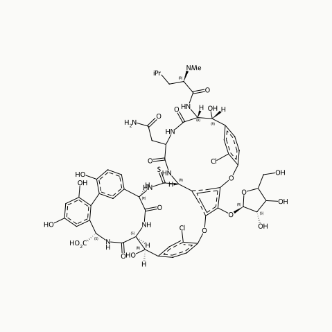 CN[C@H](CC(C)C)C(=O)N[C@H]1C(=O)NC(CC(N)=O)C(=O)N[C@H]2C(=S)N[C@H]3C(=O)N[C@H](C(=O)N[C@H](C(=O)O)c4cc(O)cc(O)c4-c4cc3ccc4O)[C@H](O)c3ccc(c(Cl)c3)Oc3cc2cc(c3O[C@H]2OC(CO)C(O)[C@@H]2O)Oc2ccc(cc2Cl)[C@H]1O